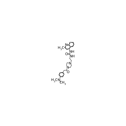 Cc1cc(NC(=O)NCCN2CCN(C(=O)Cc3ccc(N(C)C)cc3)CC2)c2ccccc2n1